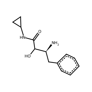 N[C@@H](Cc1ccccc1)C(O)C(=O)NC1CC1